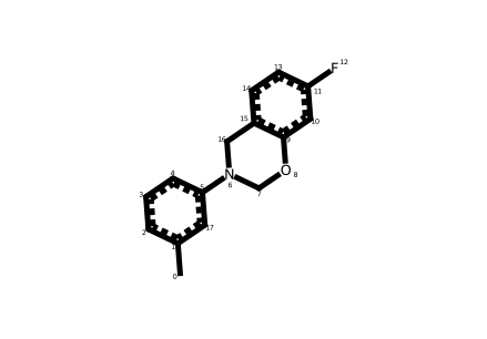 Cc1cccc(N2COc3cc(F)ccc3C2)c1